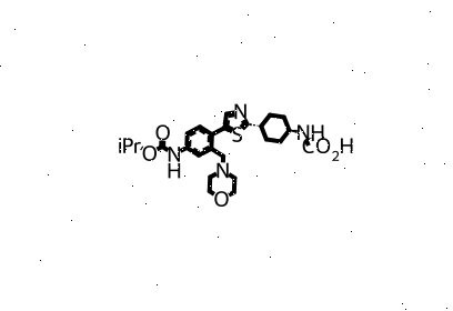 CC(C)OC(=O)Nc1ccc(-c2cnc([C@H]3CC[C@H](NC(=O)O)CC3)s2)c(CN2CCOCC2)c1